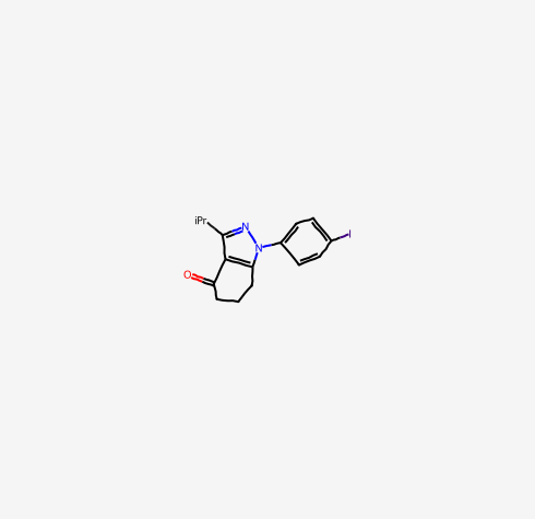 CC(C)c1nn(-c2ccc(I)cc2)c2c1C(=O)CCC2